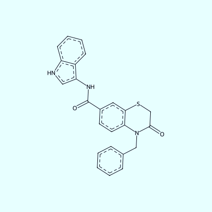 O=C(Nc1c[nH]c2ccccc12)c1ccc2c(c1)SCC(=O)N2Cc1ccccc1